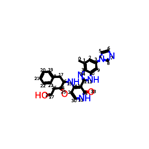 Cc1cc(-n2ccnc2)cc2[nH]c(-c3c(NC(Cc4ccccc4)C(=O)CCO)cc[nH]c3=O)nc12